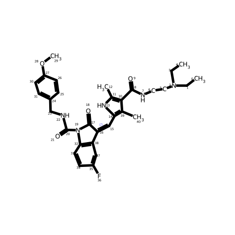 CCN(CC)CCNC(=O)c1c(C)[nH]c(/C=C2\C(=O)N(C(=O)NCc3ccc(OC)cc3)c3ccc(F)cc32)c1C